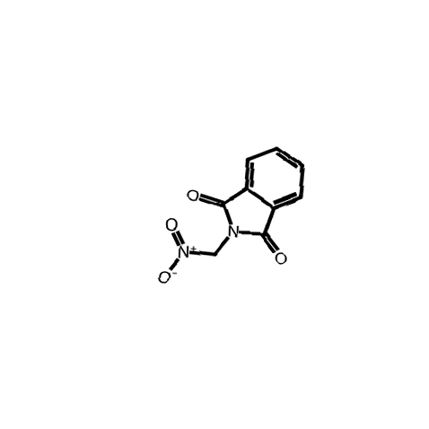 O=C1c2ccccc2C(=O)N1C[N+](=O)[O-]